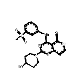 CS(=O)(=O)c1cccc(Nc2nc(N3CCC(O)CC3)nc3cc[nH]c(=O)c23)c1